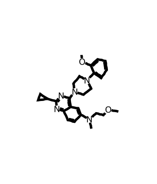 COCCN(C)c1ccc2nc(C3CC3)nc(N3CCN(c4ccccc4OC)CC3)c2c1